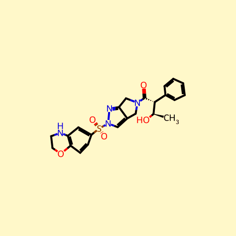 C[C@@H](O)[C@H](C(=O)N1Cc2cn(S(=O)(=O)c3ccc4c(c3)NCCO4)nc2C1)c1ccccc1